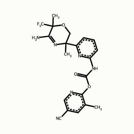 Cc1cc(C#N)cnc1OC(=O)Nc1cccc(C2(C)COC(C)(C(F)(F)F)C(N)=N2)n1